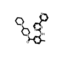 Cc1ccc(C(=O)N2CCC(N3CCCCC3)CC2)cc1Nc1nccc(-c2cccnc2)n1